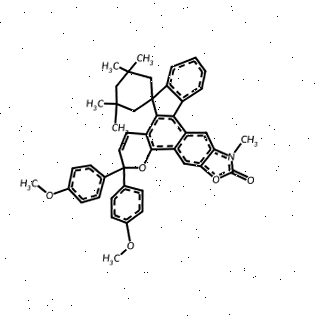 COc1ccc(C2(c3ccc(OC)cc3)C=Cc3c4c(c5cc6c(cc5c3O2)oc(=O)n6C)-c2ccccc2C42CC(C)(C)CC(C)(C)C2)cc1